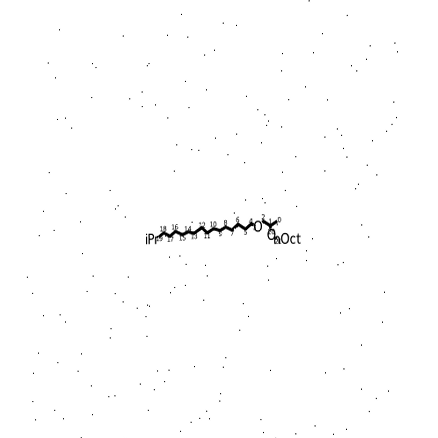 [CH2]C(COCCCCCCCCCCCCCCCC(C)C)OCCCCCCCC